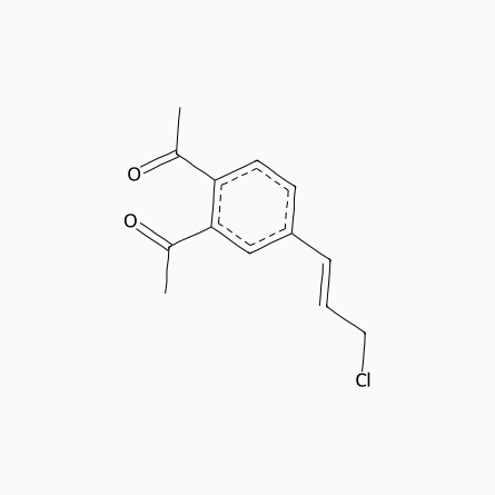 CC(=O)c1ccc(/C=C/CCl)cc1C(C)=O